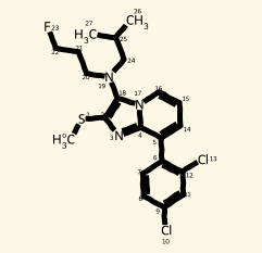 CSc1nc2c(-c3ccc(Cl)cc3Cl)cccn2c1N(CCCF)CC(C)C